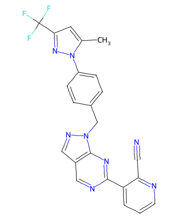 Cc1cc(C(F)(F)F)nn1-c1ccc(Cn2ncc3cnc(-c4cccnc4C#N)nc32)cc1